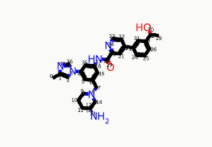 Cc1cn(-c2cc(CN3CCC[C@H](N)C3)cc(NC(=O)c3cc(-c4cccc(C(C)O)c4)ccn3)c2)cn1